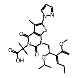 C=C(OC)/C(=C\CC)[C@H](Cn1c(=O)n(C(C)(C)C(=O)O)c(=O)c2c(C)c(-n3cccn3)sc21)OC(C)C